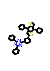 c1ccc(-c2nc(-c3ccccc3)nc(-c3cccc(-c4cc5c(-c6ccccc6)c6sccc6c(-c6ccccc6)c5s4)c3)n2)cc1